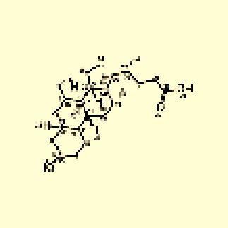 C[C@@H]1C[C@@H]2C[C@H](O)CC[C@]2(C)[C@H]2CC[C@]3(C)[C@@H]([C@H](C)CCC(=O)O)CC[C@H]3[C@H]12